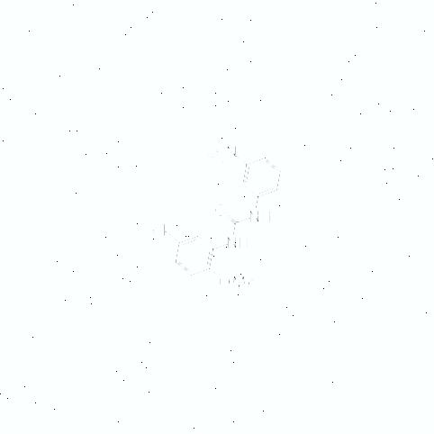 COc1ccc(Cl)cc1NC(=O)Nc1cccc([N+](=O)[O-])c1